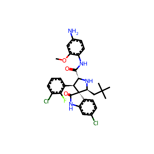 COc1cc(N)ccc1NC(=O)[C@@H]1N[C@@H](CC(C)(C)C)[C@@]2(C(=O)Nc3cc(Cl)ccc32)[C@H]1c1cccc(Cl)c1F